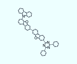 c1ccc(-c2nc(-c3ccccc3)nc(-c3ccc4c(c3)oc3cc(-c5ccc6c(c5)oc5c(-n7c8ccccc8c8ccccc87)cccc56)ccc34)n2)cc1